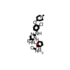 CN1CCC(Oc2ccc(Nc3ncc(F)c(N[C@H]4[C@@H](C(N)=O)[C@@H]5C=C[C@H]4C5)n3)cc2Cl)CC1